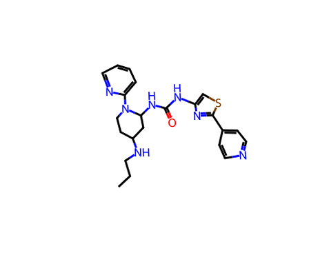 CCCNC1CCN(c2ccccn2)C(NC(=O)Nc2csc(-c3ccncc3)n2)C1